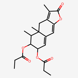 CCC(=O)OC1C=C2C=C3OC(=O)C(C)=C3CC2(C)C(C)C1OC(=O)CC